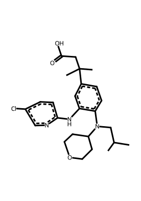 CC(C)CN(c1ccc(C(C)(C)CC(=O)O)cc1Nc1ccc(Cl)cn1)C1CCOCC1